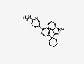 Nc1ncc(-c2ccc(C3(c4c[nH]c5ccccc45)CCCCC3)cc2)cn1